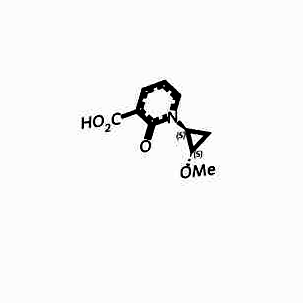 CO[C@H]1C[C@@H]1n1cccc(C(=O)O)c1=O